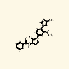 COc1cc(N2CCC(NC(=O)C3C=CC=CC3)C2=O)ccc1-n1cnc(C)c1